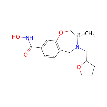 C[C@H]1COc2cc(C(=O)NO)ccc2CN1CC1CCCO1